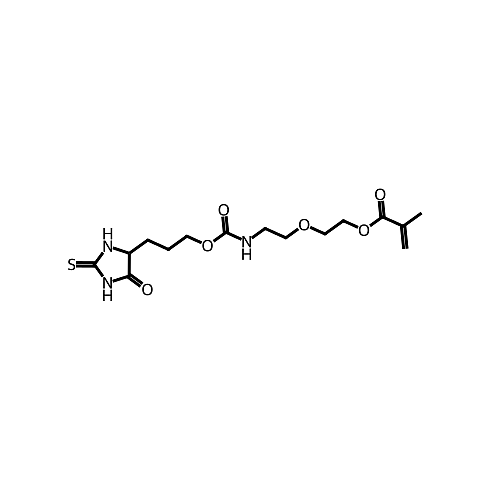 C=C(C)C(=O)OCCOCCNC(=O)OCCCC1NC(=S)NC1=O